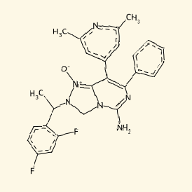 Cc1cc(C2=C(c3ccccc3)N=C(N)N3CN(C(C)c4ccc(F)cc4F)[N+]([O-])=C23)cc(C)n1